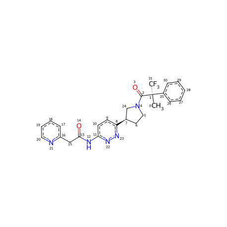 C[C@@](C(=O)N1CC[C@@H](c2ccc(NC(=O)Cc3ccccn3)nn2)C1)(c1ccccc1)C(F)(F)F